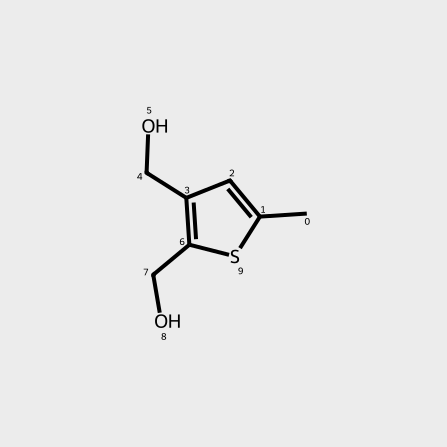 Cc1cc(CO)c(CO)s1